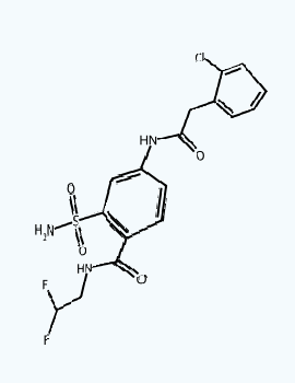 NS(=O)(=O)c1cc(NC(=O)Cc2ccccc2Cl)ccc1C(=O)NCC(F)F